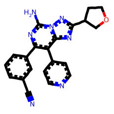 N#Cc1cccc(-c2nc(N)n3nc(C4CCOC4)nc3c2-c2ccncc2)c1